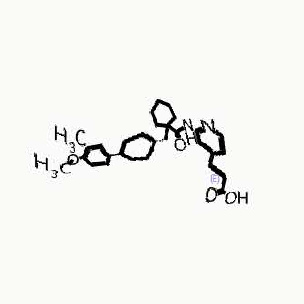 COc1ccc([C@H]2CC[C@H](CC3(C(=O)Nc4cc(/C=C/C(=O)O)ccn4)CCCCC3)CC2)cc1C